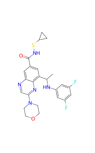 CC(Nc1cc(F)cc(F)c1)c1cc(C(=O)NSC2CC2)cc2ncc(N3CCOCC3)nc12